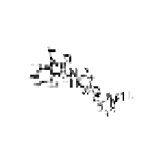 CN1CCCC(COc2ccc(N/C=C3\C(=O)Nc4ccccc43)cc2)C1